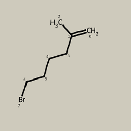 C=C(C)CCCCBr